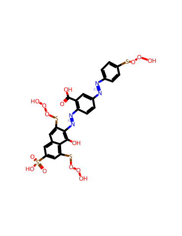 O=C(O)c1cc(/N=N/c2ccc(SOOO)cc2)ccc1/N=N/c1c(SOOO)cc2cc(S(=O)(=O)O)cc(SOOO)c2c1O